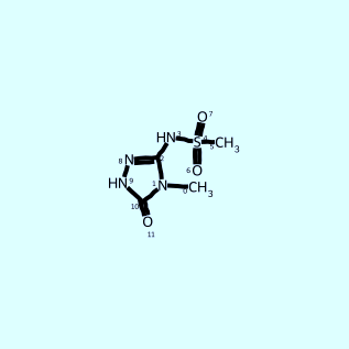 Cn1c(NS(C)(=O)=O)n[nH]c1=O